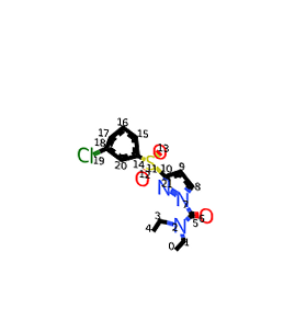 CCN(CC)C(=O)n1ccc(S(=O)(=O)c2cccc(Cl)c2)n1